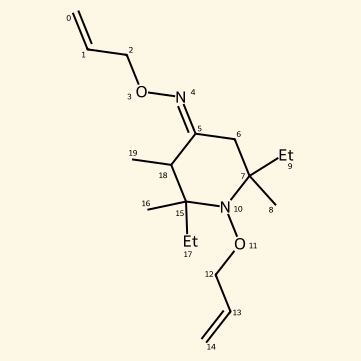 C=CCO/N=C1/CC(C)(CC)N(OCC=C)C(C)(CC)C1C